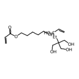 C=CC(=O)O.C=CC(=O)OCCCCCO.CCC(CO)(CO)CO